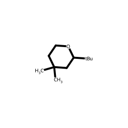 CC1(C)CCOC(C(C)(C)C)C1